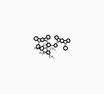 Cc1cc(C)c(B(c2cc(-c3cccc(-n4c5ccccc5c5cc6c7ccccc7n(-c7ccccc7)c6cc54)c3)cc(-n3c4ccccc4c4cc5c6ccccc6n(-c6ccccc6)c5cc43)c2)c2c(C)cc(C)cc2C)c(C)c1